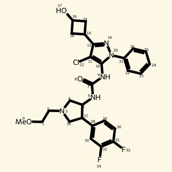 COCCN1CC(NC(=O)Nc2c(Cl)c(C3CC(O)C3)nn2-c2ccccc2)C(c2ccc(F)c(F)c2)C1